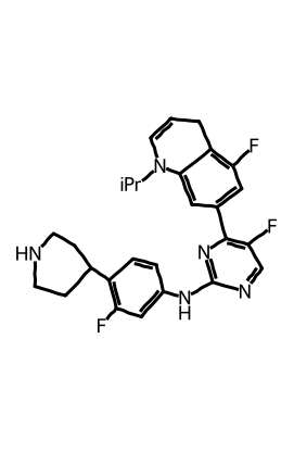 CC(C)N1C=CCc2c(F)cc(-c3nc(Nc4ccc(C5CCNCC5)c(F)c4)ncc3F)cc21